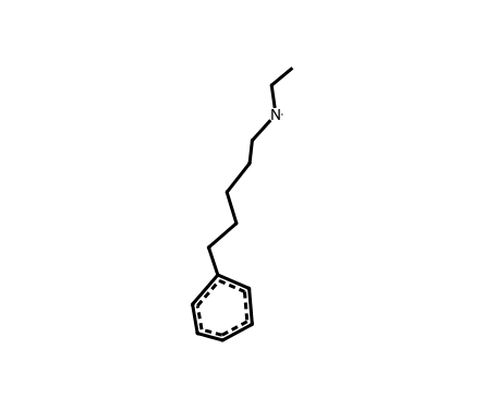 CC[N]CCCCCc1ccccc1